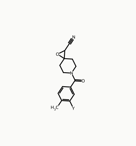 Cc1ccc(C(=O)N2CCC3(CC2)OC3C#N)c[c]1[Y]